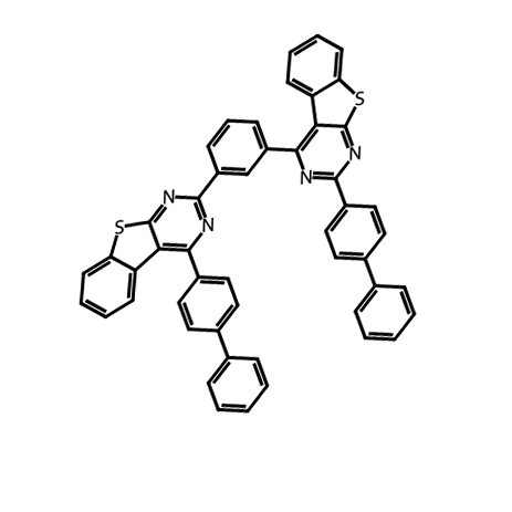 c1ccc(-c2ccc(-c3nc(-c4cccc(-c5nc(-c6ccc(-c7ccccc7)cc6)c6c(n5)sc5ccccc56)c4)c4c(n3)sc3ccccc34)cc2)cc1